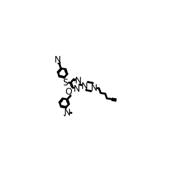 C#CCCCCN1CCN(c2ncc(Sc3ccc(C#N)cc3)c(OCc3cccc(N(C)C)c3)n2)CC1